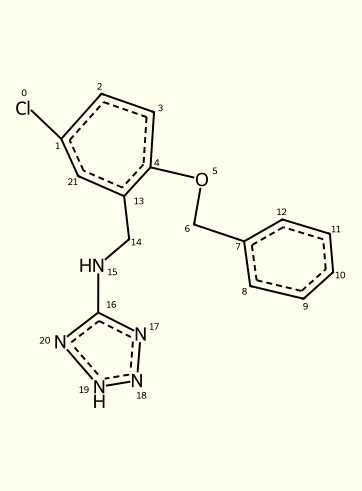 Clc1ccc(OCc2ccccc2)c(CNc2nn[nH]n2)c1